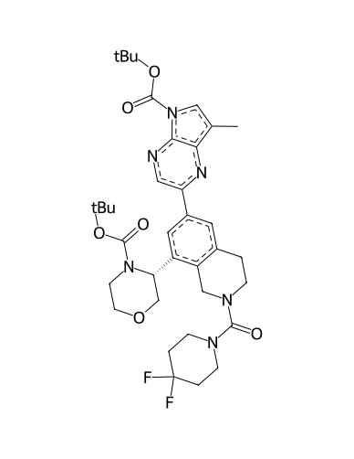 Cc1cn(C(=O)OC(C)(C)C)c2ncc(-c3cc4c(c([C@@H]5COCCN5C(=O)OC(C)(C)C)c3)CN(C(=O)N3CCC(F)(F)CC3)CC4)nc12